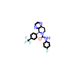 O=C(Nc1ccc(F)cc1)N1CCc2nccnc2[C@@H]1c1ccc(C(F)(F)F)cc1